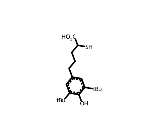 CC(C)(C)c1cc(CCCC(S)C(=O)O)cc(C(C)(C)C)c1O